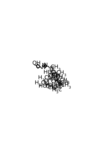 CC[C@@H](OC=O)[C@@](C)(O)[C@H](O)[C@@H](C)C(=O)[C@H](C)CC(C)(OC)[C@H](O[C@@H]1O[C@H](C)C[C@H](N(C)CCc2cn(Cc3ccc(CO)cc3)nn2)[C@H]1O)[C@@H](C)[C@@H](C(C)C)C1C[C@@](C)(OC)[C@@H](O)[C@H](C)O1